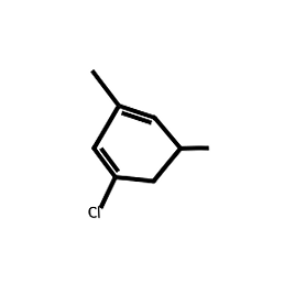 CC1=CC(C)CC(Cl)=C1